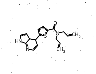 C=CCN(CC=C)C(=O)c1ccc(C2C=CN=C3NC=CC32)s1